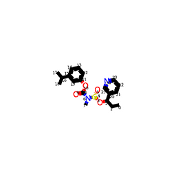 CCC(OS(=O)N(C)C(=O)Oc1cccc(C(C)C)c1)c1cccnc1